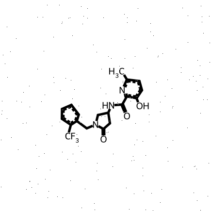 Cc1ccc(O)c(C(=O)NC2CC(=O)N(Cc3ccccc3C(F)(F)F)C2)n1